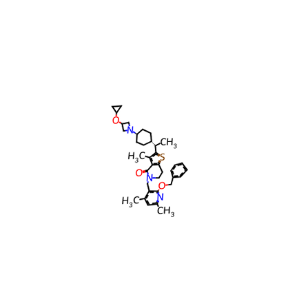 Cc1cc(C)c(CN2CCc3sc(C(C)[C@H]4CC[C@H](N5CC(OC6CC6)C5)CC4)c(C)c3C2=O)c(OCc2ccccc2)n1